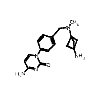 CN(Cc1ccc(-n2ccc(N)nc2=O)cc1)C12CC(N)(C1)C2